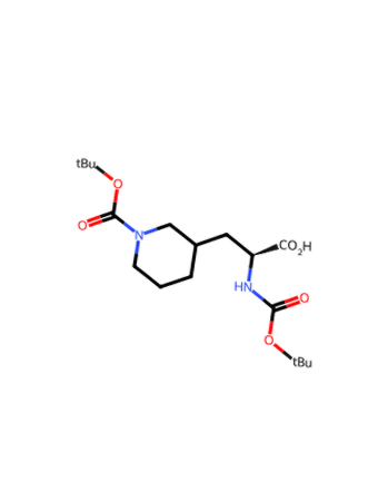 CC(C)(C)OC(=O)N[C@@H](CC1CCCN(C(=O)OC(C)(C)C)C1)C(=O)O